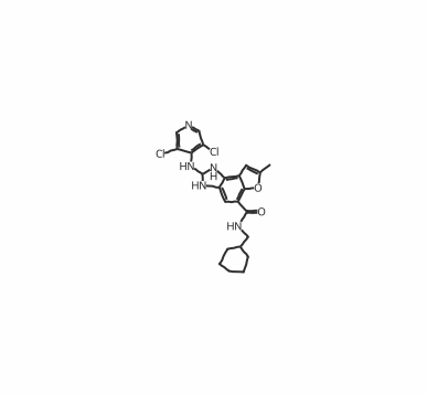 Cc1cc2c3c(cc(C(=O)NCC4CCCCC4)c2o1)NC(Nc1c(Cl)cncc1Cl)N3